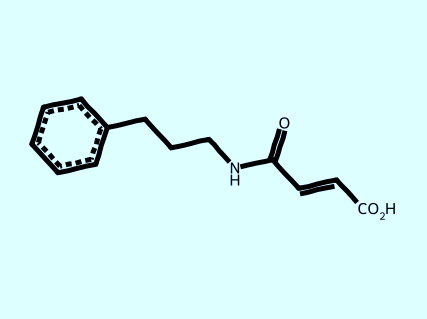 O=C(O)C=CC(=O)NCCCc1ccccc1